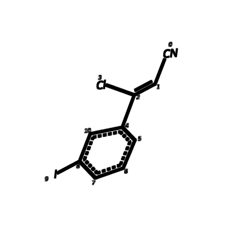 N#CC=C(Cl)c1cccc(I)c1